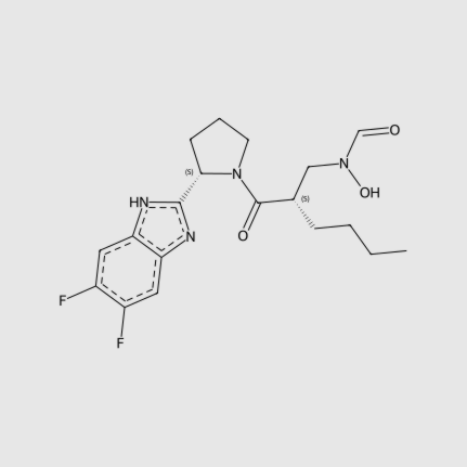 CCCC[C@@H](CN(O)C=O)C(=O)N1CCC[C@H]1c1nc2cc(F)c(F)cc2[nH]1